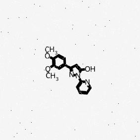 COc1ccc(-c2cc(O)n(-c3ccccn3)n2)cc1OC